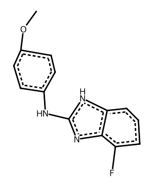 COc1ccc(Nc2nc3c(F)cccc3[nH]2)cc1